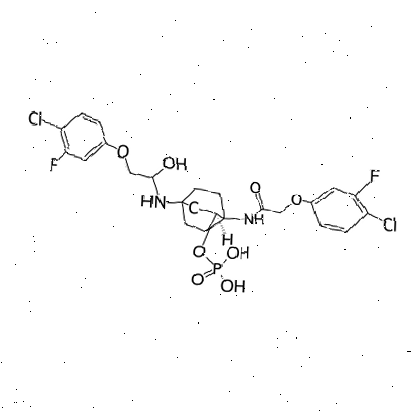 O=C(COc1ccc(Cl)c(F)c1)NC12CCC(NC(O)COc3ccc(Cl)c(F)c3)(CC1)C[C@@H]2OP(=O)(O)O